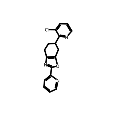 Clc1cccnc1C1CCc2nc(-c3ccccn3)oc2C1